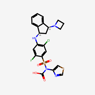 O=C(O)N(c1cscn1)S(=O)(=O)c1cc(Cl)c(N[C@@H]2C[C@H](N3CCC3)c3ccccc32)cc1F